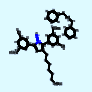 CCCCCCCCCCCCCCCCC1=C(c2cc(CC)cc(CCCCCC)c2)[N+](=[N-])C(c2cc(CC)cc(CCCCCC)c2)=C1.c1ccc([CH2][Pd][CH2]c2ccccc2)cc1